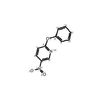 O=[N+]([O-])c1ccc(Oc2c[c]ccc2)nc1